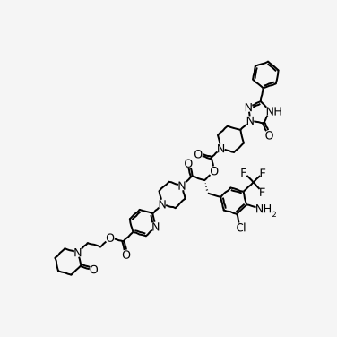 Nc1c(Cl)cc(C[C@@H](OC(=O)N2CCC(n3nc(-c4ccccc4)[nH]c3=O)CC2)C(=O)N2CCN(c3ccc(C(=O)OCCN4CCCCC4=O)cn3)CC2)cc1C(F)(F)F